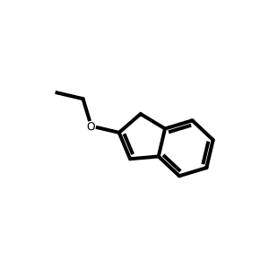 CCOC1=Cc2ccccc2C1